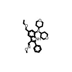 CCOCc1cc(N(C2CCOCC2)C2CCOCC2)c2[nH]c(-c3ccccc3)c(C=NOC)c2c1